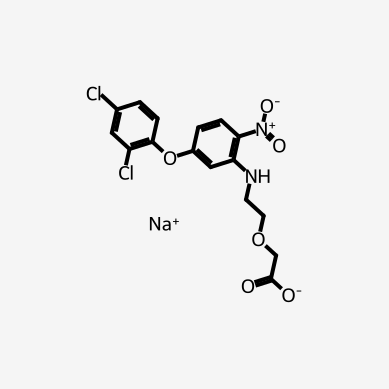 O=C([O-])COCCNc1cc(Oc2ccc(Cl)cc2Cl)ccc1[N+](=O)[O-].[Na+]